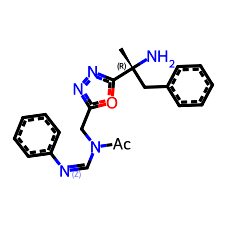 CC(=O)N(/C=N\c1ccccc1)Cc1nnc([C@](C)(N)Cc2ccccc2)o1